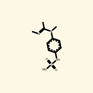 CCCCS(=O)(=O)Nc1ccc(N(C)C(C)=NC)cc1